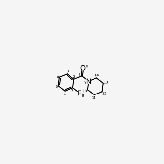 O=C(c1ccccc1F)N1CCCCC1